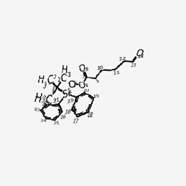 CC(C)(C)[Si](OOC(=O)CCCCC=O)(c1ccccc1)c1ccccc1